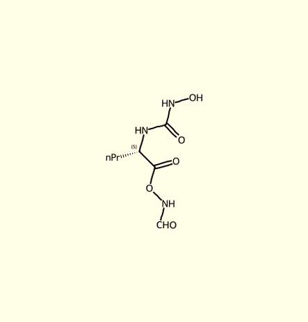 CCC[C@H](NC(=O)NO)C(=O)ONC=O